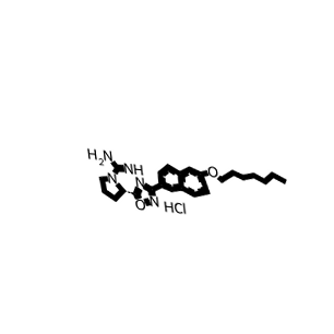 CCCCCCCOc1ccc2cc(-c3noc([C@@H]4CCCN4C(=N)N)n3)ccc2c1.Cl